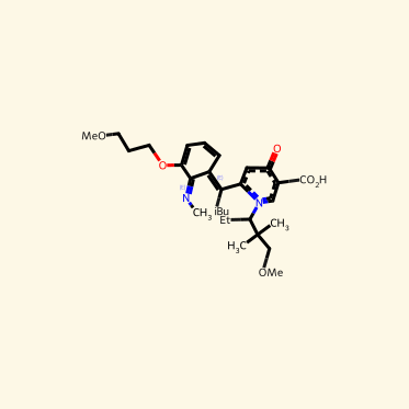 CCC(C)/C(=C1/C=CC=C(OCCCOC)/C1=N/C)c1cc(=O)c(C(=O)O)cn1C(CC)C(C)(C)COC